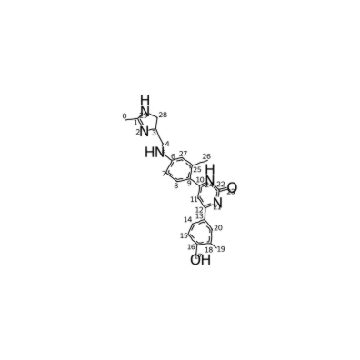 CC1=NC(CNc2ccc(-c3cc(-c4ccc(O)c(C)c4)nc(=O)[nH]3)c(C)c2)CN1